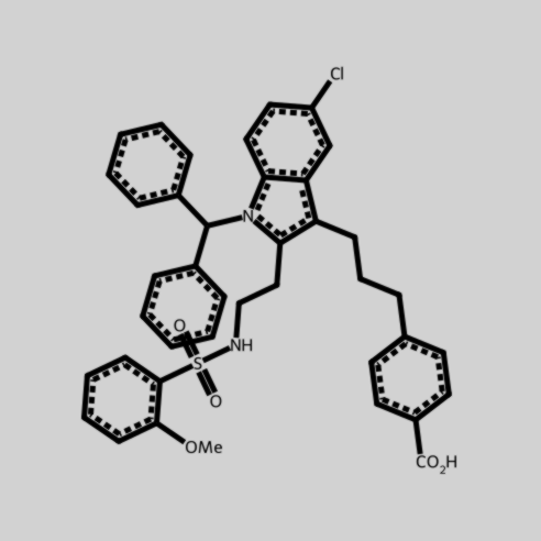 COc1ccccc1S(=O)(=O)NCCc1c(CCCc2ccc(C(=O)O)cc2)c2cc(Cl)ccc2n1C(c1ccccc1)c1ccccc1